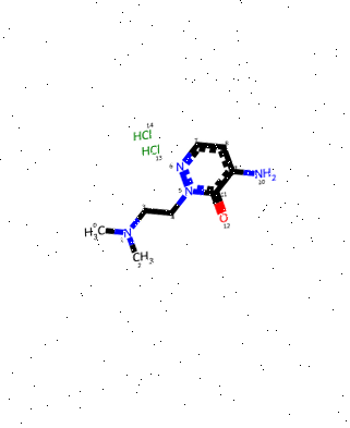 CN(C)CCn1nccc(N)c1=O.Cl.Cl